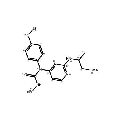 CCCNC(=O)N(c1ccc(OCC)cc1)c1ccnc(NC(C)COC)n1